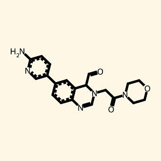 Nc1ccc(-c2ccc3c(c2)C(C=O)N(CC(=O)N2CCOCC2)C=N3)cn1